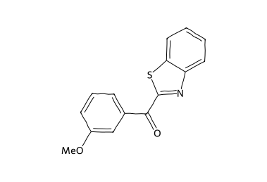 COc1cccc(C(=O)c2nc3ccccc3s2)c1